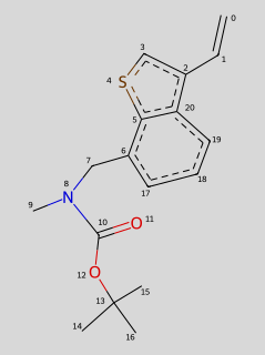 C=Cc1csc2c(CN(C)C(=O)OC(C)(C)C)cccc12